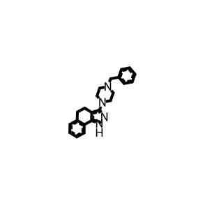 c1ccc(CN2CCN(c3n[nH]c4c3CCc3ccccc3-4)CC2)cc1